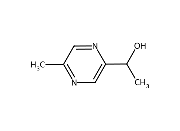 Cc1cnc(C(C)O)cn1